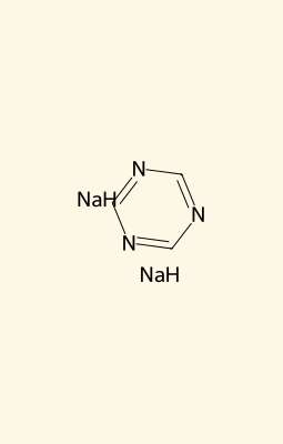 [NaH].[NaH].c1ncncn1